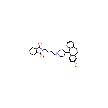 O=C1C2CCCCC2C(=O)N1CCCCN1CCC(=C2c3ccc(Cl)cc3CCc3cccnc32)CC1